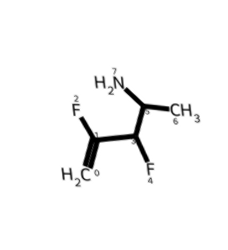 C=C(F)C(F)C(C)N